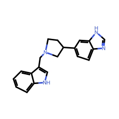 c1ccc2c(CN3CCC(c4ccc5nc[nH]c5c4)C3)c[nH]c2c1